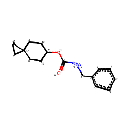 O=C(NCc1ccccc1)OC1CCC2(CC1)CC2